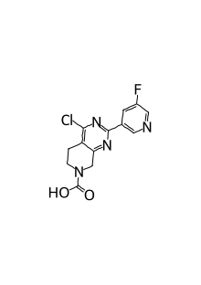 O=C(O)N1CCc2c(Cl)nc(-c3cncc(F)c3)nc2C1